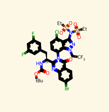 CCS(=O)(=O)N(c1nn(CC(F)(F)F)c2c(-n3c([C@H](Cc4cc(F)cc(F)c4)NC(=O)OC(C)(C)C)nc4cc(Br)ccc4c3=O)ccc(Cl)c12)S(=O)(=O)CC